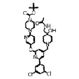 CC(=O)NCC1(O)CCN(Cc2cc(Oc3ccc(N4CCN(C(=O)OC(C)(C)C)CC4)nc3)nc(-c3cc(Cl)cc(Cl)c3)c2)CC1